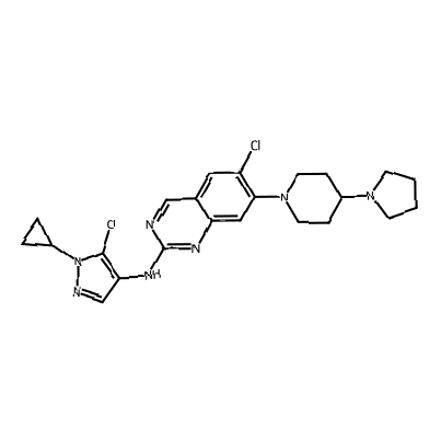 Clc1cc2cnc(Nc3cnn(C4CC4)c3Cl)nc2cc1N1CCC(N2CCCC2)CC1